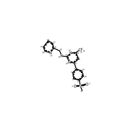 CS(=O)(=O)c1ccc(-c2cc(C(F)(F)F)nc([N]Cc3ccccn3)n2)cc1